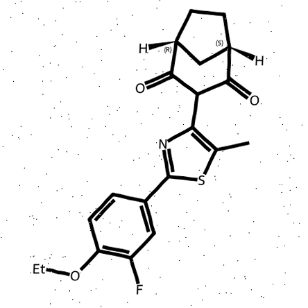 CCOc1ccc(-c2nc(C3C(=O)[C@@H]4CC[C@@H](C4)C3=O)c(C)s2)cc1F